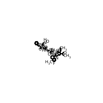 BC(OCNC(=O)CNC(=O)C(Cc1ccccc1)NC(=O)CNC=O)(C(=O)NC1CCc2c(C)c(F)cc3nc4c(c1c23)Cn1c-4cc(C(C=O)CC)c(COC)c1=O)C(F)(F)F